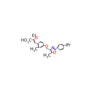 CCO/C(=C\c1ccc(OCc2nc(-c3ccc(C(C)C)cc3)oc2C)cc1C)C(=O)O